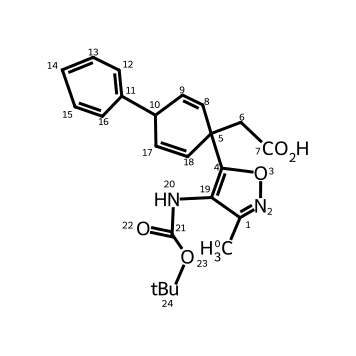 Cc1noc(C2(CC(=O)O)C=CC(c3ccccc3)C=C2)c1NC(=O)OC(C)(C)C